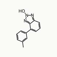 Cc1cccc(-c2cccc3nn(O)nc23)c1